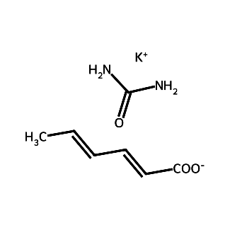 CC=CC=CC(=O)[O-].NC(N)=O.[K+]